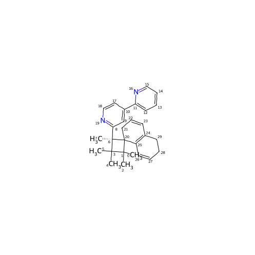 CC1(C)C(C)(C)[C@@](C)(c2cc(-c3ccccn3)ccn2)C12CC=CC1=C2C=CCC1